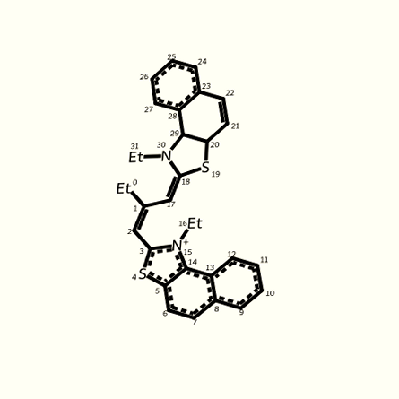 CCC(=Cc1sc2ccc3ccccc3c2[n+]1CC)C=C1SC2C=Cc3ccccc3C2N1CC